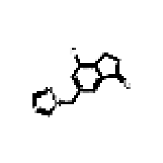 O=C1CCc2c(F)cc(Cn3cncn3)cc21